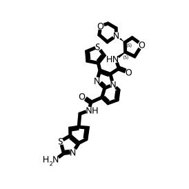 Nc1nc2ccc(CNC(=O)c3cccn4c(C(=O)N[C@@H]5COC[C@H]5N5CCOCC5)c(-c5ccsc5)nc34)cc2s1